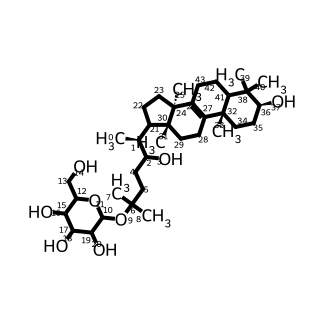 C[C@H](C(O)CCC(C)(C)OC1OC(CO)C(O)C(O)C1O)C1CC[C@@]2(C)C3=C(CC[C@]12C)[C@@]1(C)CC[C@H](O)C(C)(C)C1CC3